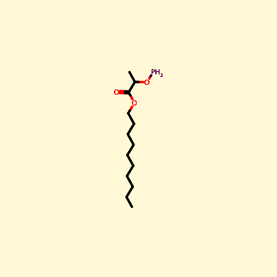 CCCCCCCCCCOC(=O)C(C)OP